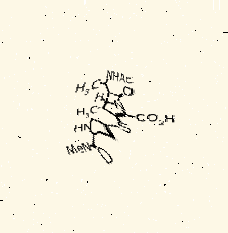 CNC(=O)[C@@H]1C[C@H](SC2=C(C(=O)O)N3C(=O)[C@H]([C@@H](C)NC(C)=O)[C@H]3[C@H]2C)CN1